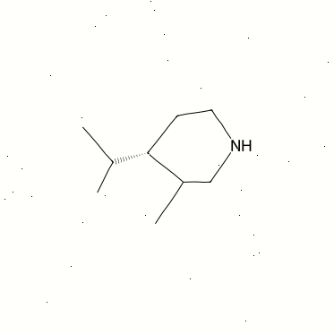 CC(C)[C@@H]1CCNCC1C